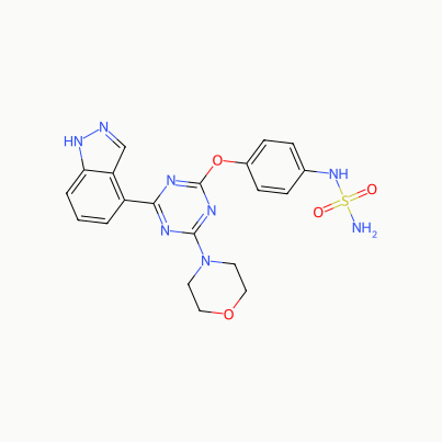 NS(=O)(=O)Nc1ccc(Oc2nc(-c3cccc4[nH]ncc34)nc(N3CCOCC3)n2)cc1